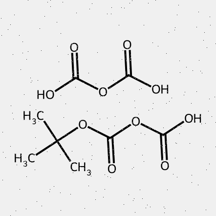 CC(C)(C)OC(=O)OC(=O)O.O=C(O)OC(=O)O